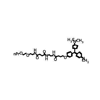 CCCOCCOCCNC(=O)CCC(=O)NCCNC(=O)CCCOc1ccc(C(=C2C=CC(=NC)C=C2)c2ccc(N(C)C)cc2)cc1